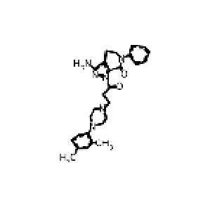 Cc1ccc(N2CCN(CCC(=O)n3nc(N)c4c3C(=O)N(c3ccccc3)CC4)CC2)c(C)c1